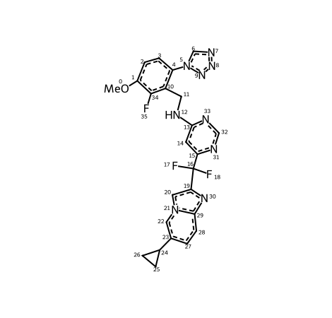 COc1ccc(-n2cnnn2)c(CNc2cc(C(F)(F)c3cn4cc(C5CC5)ccc4n3)ncn2)c1F